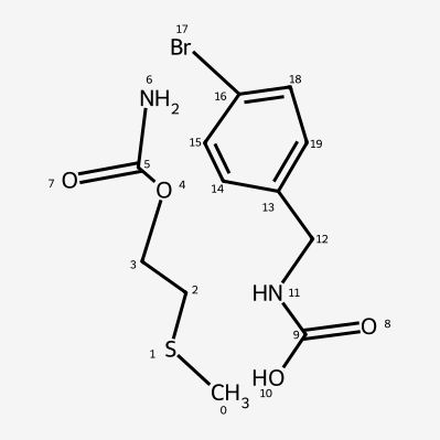 CSCCOC(N)=O.O=C(O)NCc1ccc(Br)cc1